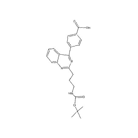 CC(C)(C)OC(=O)NCCCc1nc(-c2ccc(C(=O)O)cc2)c2ccccc2n1